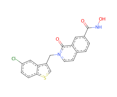 O=C(NO)c1ccc2ccn(Cc3csc4ccc(Cl)cc34)c(=O)c2c1